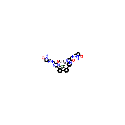 COc1nc(-c2cccc(-c3cccc(-c4ccn5c(=O)c(CNC[C@H]6CCC(=O)N6)cnc5c4)c3C)c2Cl)cnc1CNC[C@H]1CCC(=O)N1